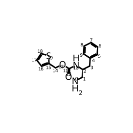 NC[C@H](Cc1ccccc1)NC(=O)OCc1cccs1